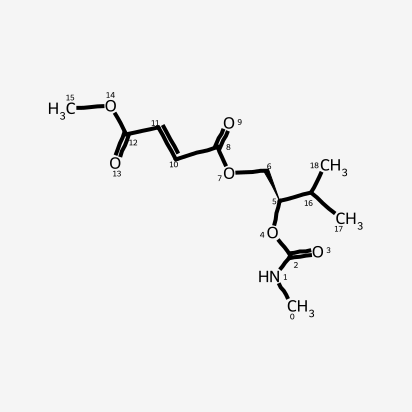 CNC(=O)O[C@@H](COC(=O)/C=C/C(=O)OC)C(C)C